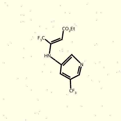 CCOC(=O)C=C(Nc1cncc(C(F)(F)F)c1)C(F)(F)F